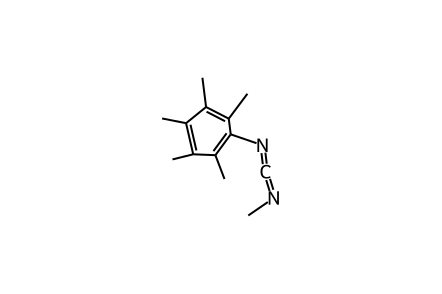 CN=C=Nc1c(C)c(C)c(C)c(C)c1C